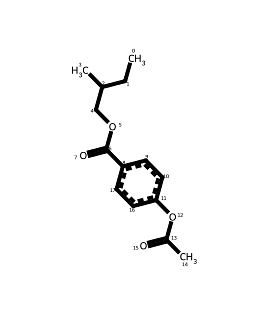 CCC(C)COC(=O)c1ccc(OC(C)=O)cc1